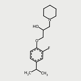 CC(C)c1ccc(OCC(O)CN2CCCCC2)c(F)c1